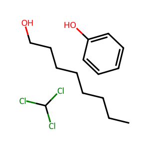 CCCCCCCCO.ClC(Cl)Cl.Oc1ccccc1